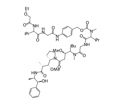 CCOCC(=O)NC(C(=O)NCC(=O)Nc1ccc(COC(=O)N(C)C(C(=O)NCC(=O)N(C)C(C(C)CC)[C@@H](CC(=O)N2CCC[C@H]2[C@H](OC)[C@@H](C)C(=O)N[C@H](C)[C@@H](O)c2ccccc2)OC)C(C)C)cc1)C(C)C